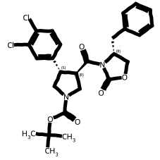 CC(C)(C)OC(=O)N1C[C@H](C(=O)N2C(=O)OC[C@H]2Cc2ccccc2)[C@@H](c2ccc(Cl)c(Cl)c2)C1